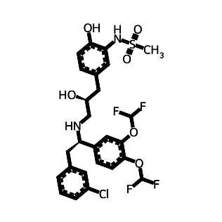 CS(=O)(=O)Nc1cc(C[C@H](O)CN[C@H](Cc2cccc(Cl)c2)c2ccc(OC(F)F)c(OC(F)F)c2)ccc1O